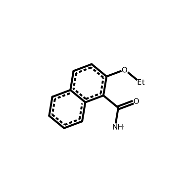 CCOc1ccc2ccccc2c1C([NH])=O